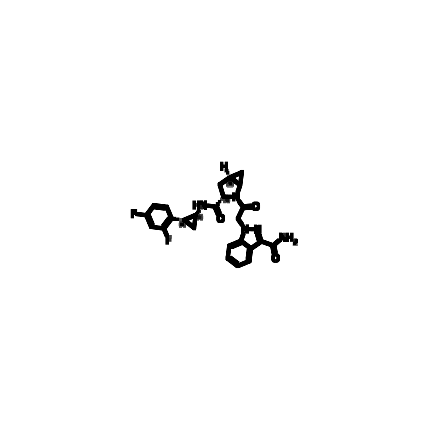 NC(=O)c1nn(CC(=O)N2C3C[C@@H]3C[C@H]2C(=O)N[C@@H]2C[C@@H]2c2ccc(F)cc2F)c2ccccc12